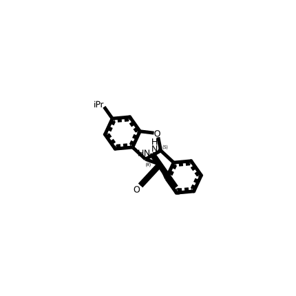 CC(C)c1ccc2c(c1)O[C@]13NC(=O)N[C@]21C(=O)c1ccccc13